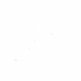 COC12CC(C(N)=O)(C1)C2